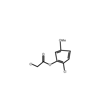 COc1ccc(Cl)c(OC(=O)CCl)c1